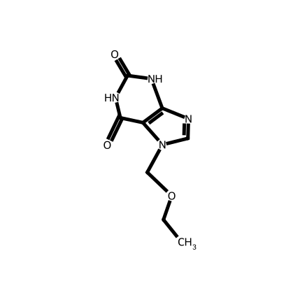 CCOCn1cnc2[nH]c(=O)[nH]c(=O)c21